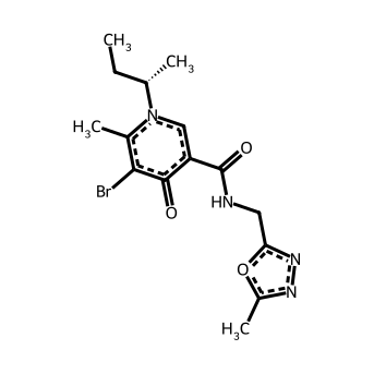 CC[C@H](C)n1cc(C(=O)NCc2nnc(C)o2)c(=O)c(Br)c1C